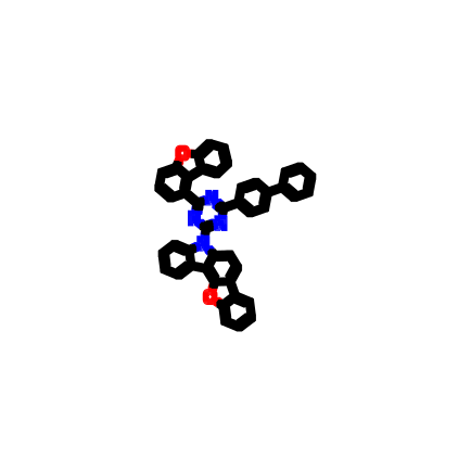 c1ccc(-c2ccc(-c3nc(-c4cccc5oc6ccccc6c45)nc(-n4c5ccccc5c5c6oc7ccccc7c6ccc54)n3)cc2)cc1